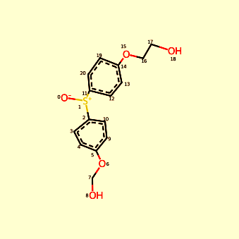 [O-][S+](c1ccc(OCO)cc1)c1ccc(OCCO)cc1